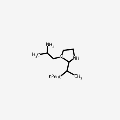 CCCCCC(C)C1NCCN1CC(C)N